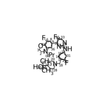 CC(C)N1CCOc2c(F)cc(-c3nc(Nc4ccc(CN5CCC(C(C)(C)O)CC5)c(F)c4)ncc3F)cc21